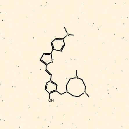 CN1CCN(C)CCN(Cc2cc(/C=C/c3ccc(-c4ccc(N(C)C)cc4)s3)ccc2O)CC1